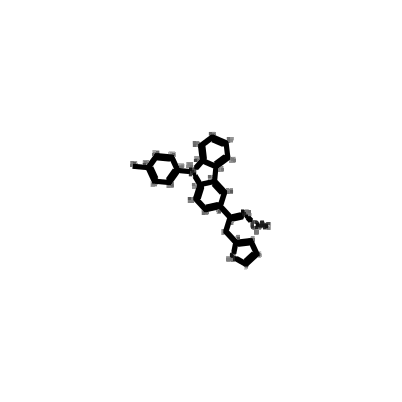 CC(=O)ON=C(Cc1cccs1)c1ccc2c(c1)c1ccccc1n2-c1ccc(C)cc1